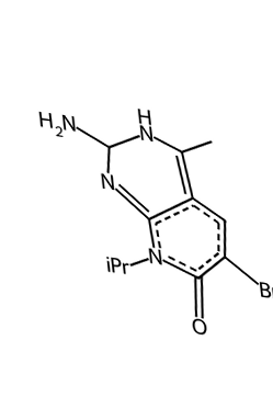 CC1=c2cc(Br)c(=O)n(C(C)C)c2=NC(N)N1